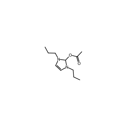 CCCN1C=CN(CCC)C1OC(C)=O